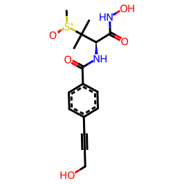 C[S+]([O-])C(C)(C)[C@H](NC(=O)c1ccc(C#CCO)cc1)C(=O)NO